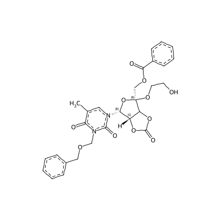 Cc1cn([C@@H]2O[C@@](COC(=O)c3ccccc3)(OCCO)C3OC(=O)O[C@@H]32)c(=O)n(COCc2ccccc2)c1=O